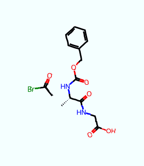 CC(=O)Br.C[C@H](NC(=O)OCc1ccccc1)C(=O)NCC(=O)O